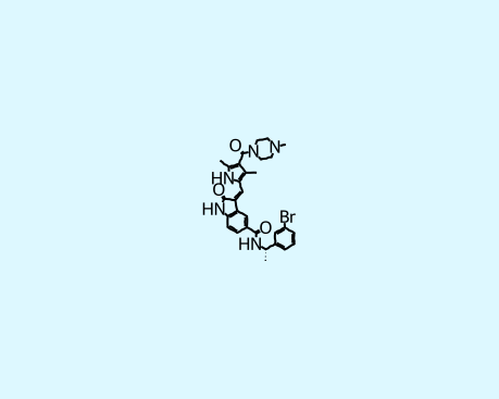 Cc1[nH]c(/C=C2\C(=O)Nc3ccc(C(=O)N[C@@H](C)c4cccc(Br)c4)cc32)c(C)c1C(=O)N1CCN(C)CC1